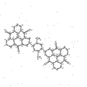 Cc1cc(-c2cc3c(=O)c4cccc5c(=O)c6cccc7c(=O)c(c2)c3n(c54)c67)c(C)cc1-c1cc2c(=O)c3cccc4c(=O)c5cccc6c(=O)c(c1)c2n(c43)c56